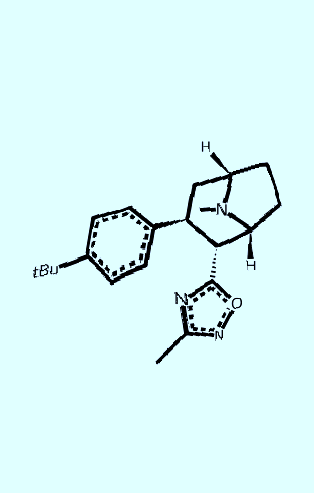 Cc1noc([C@@H]2[C@@H](c3ccc(C(C)(C)C)cc3)C[C@@H]3CC[C@H]2N3C)n1